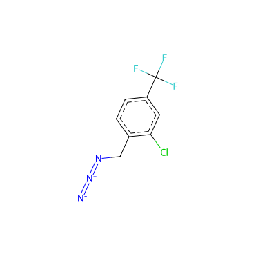 [N-]=[N+]=NCc1ccc(C(F)(F)F)cc1Cl